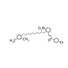 CCc1ccc(C(=O)C=Cc2cccc([N+](=O)[O-])c2CCCCCCCCCCc2ccc(C)cc2C)cc1